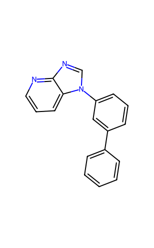 c1ccc(-c2cccc(-n3cnc4ncccc43)c2)cc1